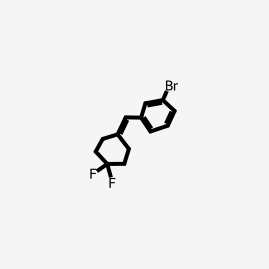 FC1(F)CCC(=Cc2cccc(Br)c2)CC1